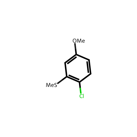 COc1ccc(Cl)c(SC)c1